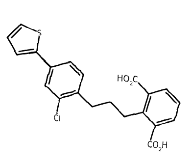 O=C(O)c1cccc(C(=O)O)c1CCCc1ccc(-c2cccs2)cc1Cl